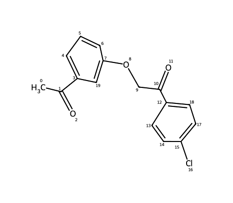 CC(=O)c1cccc(OCC(=O)c2ccc(Cl)cc2)c1